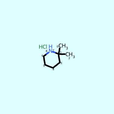 CC1(C)CCCCN1.Cl